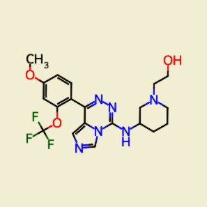 COc1ccc(-c2nnc(NC3CCCN(CCO)C3)n3cncc23)c(OC(F)(F)F)c1